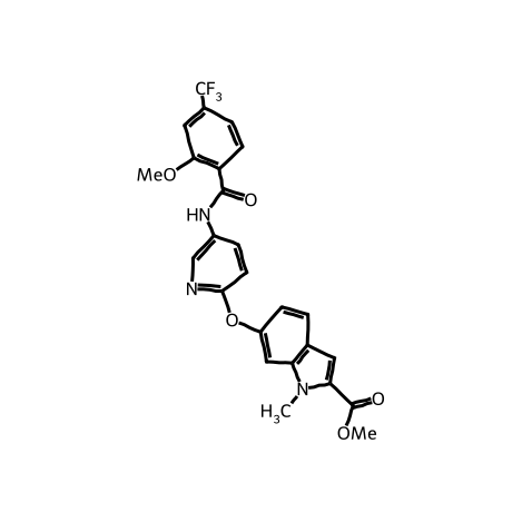 COC(=O)c1cc2ccc(Oc3ccc(NC(=O)c4ccc(C(F)(F)F)cc4OC)cn3)cc2n1C